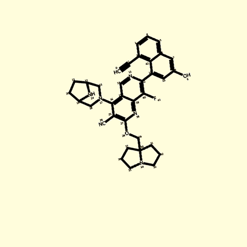 C#Cc1cccc2cc(O)cc(-c3ncc4c(N5CC6CCC(C5)N6)c(C#N)c(OCC56CCCN5CCC6)nc4c3F)c12